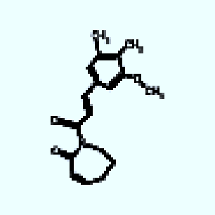 COc1cc(/C=C/C(=O)N2CCCC=CC2=O)cc(C)c1C